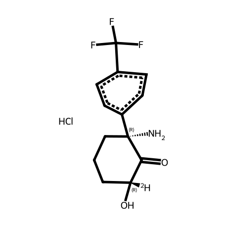 Cl.[2H][C@@]1(O)CCC[C@@](N)(c2ccc(C(F)(F)F)cc2)C1=O